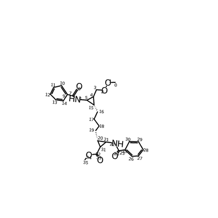 COOCC1C(NC(=O)c2ccccc2)[C@H]1CCCC[C@@H]1C(NC(=O)c2ccccc2)C1C(=O)OC